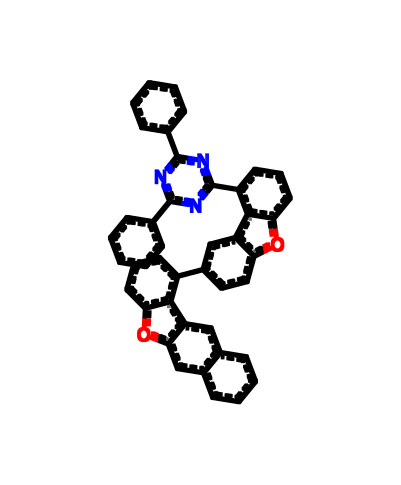 c1ccc(-c2nc(-c3ccccc3)nc(-c3cccc4oc5ccc(-c6cccc7oc8cc9ccccc9cc8c67)cc5c34)n2)cc1